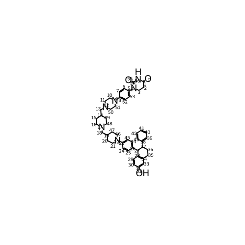 O=C1CCN(c2ccc(N3CCN(CC4CCN(CC5CCN(c6ccc([C@@H]7c8ccc(O)cc8CC[C@@H]7c7ccccc7)cc6)CC5)CC4)CC3)cc2)C(=O)N1